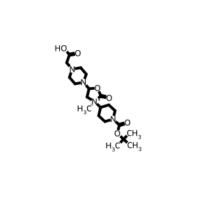 CC(C)(C)OC(=O)N1CCC([N+]2(C)CC(N3CCN(CC(=O)O)CC3)OC2=O)CC1